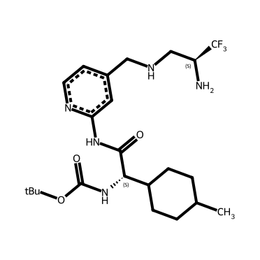 CC1CCC([C@H](NC(=O)OC(C)(C)C)C(=O)Nc2cc(CNC[C@H](N)C(F)(F)F)ccn2)CC1